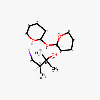 C1CCC(OC2CCCCO2)OC1.C[C@@H](CI)C(C)(C)O